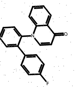 O=c1ccn(-c2ccccc2-c2ccc(F)cc2)c2ccccc12